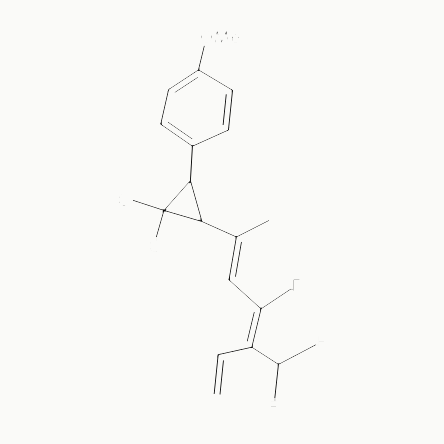 C=C/C(=C(F)\C=C(/C)C1C(c2ccc(OC)cc2)C1(Cl)Cl)C(F)F